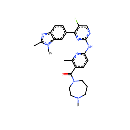 Cc1nc(Nc2ncc(F)c(-c3ccc4nc(C)n(C(C)C)c4c3)n2)ccc1C(=O)N1CCCN(C)CC1